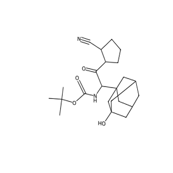 CC(C)(C)OC(=O)NC(C(=O)C1CCCC1C#N)C12CC3CC(CC(O)(C3)C1)C2